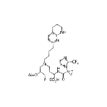 COC(CF)CN(CCCCc1ccc2c(n1)NCCC2)CCC(NC(=O)C1(n2ccnc2C(F)(F)F)CC1)C(=O)O